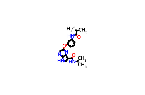 C=C(C)C(=O)Nc1cccc(Oc2cnc3[nH]cc(C(=O)NC(C)C)c3n2)c1